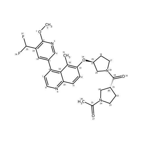 COc1ncc(-c2ccnc3ccc(O[C@H]4CCN(C(=O)[C@@H]5CCN(C(C)=O)C5)C4)c(C)c23)cc1C(F)F